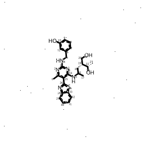 Cc1nc(NCc2cccc(O)c2)nc(NC(C)C[C@H](CO)[C@H](C)O)c1-c1nc2ccccc2s1